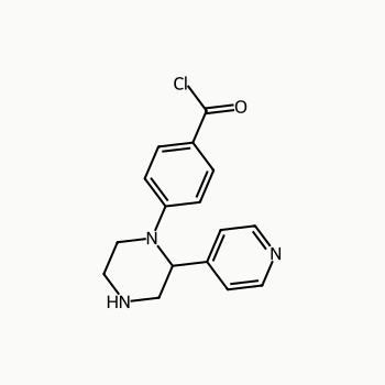 O=C(Cl)c1ccc(N2CCNCC2c2ccncc2)cc1